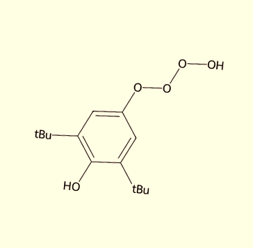 CC(C)(C)c1cc(OOOO)cc(C(C)(C)C)c1O